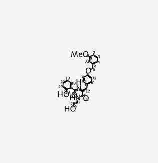 COc1cccc(COc2ccc(C=C(NC(=O)c3ccccc3O)C(=O)NCCO)cc2)c1